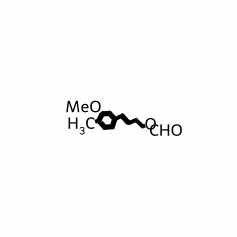 COc1cc(C=CCCOC=O)ccc1C